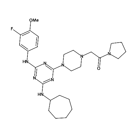 COc1ccc(Nc2nc(NC3CCCCCC3)nc(N3CCN(CC(=O)N4CCCC4)CC3)n2)cc1F